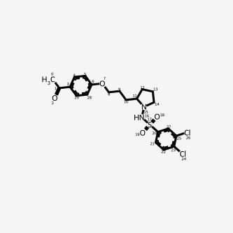 CC(=O)c1ccc(OCCCC2CCCN2NS(=O)(=O)c2ccc(Cl)c(Cl)c2)cc1